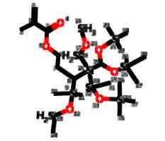 C=C(C)C(=O)OCCC([Si](C)(C)O[SiH2]C)[Si]([SiH2]O[SiH3])(C(O[Si](C)(C)C)O[Si](C)(C)C)[Si](C)(C)O[Si](C)(C)C